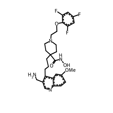 COc1ccc2ncc(CN)c(CCCC3(C(=O)NO)CCN(CCOc4c(F)cc(F)cc4F)CC3)c2c1